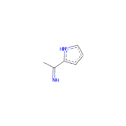 CC(=N)c1ccc[nH]1